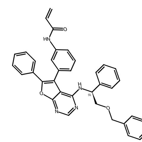 C=CC(=O)Nc1cccc(-c2c(-c3ccccc3)oc3ncnc(N[C@H](COCc4cccc(F)c4)c4ccccc4)c23)c1